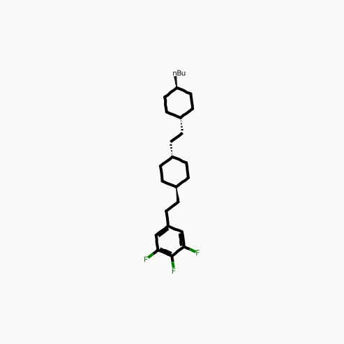 CCCC[C@H]1CC[C@H](CC[C@H]2CC[C@H](CCc3cc(F)c(F)c(F)c3)CC2)CC1